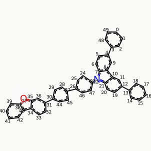 c1ccc(-c2ccc3c(c2)c2cc(-c4ccccc4)ccc2n3-c2ccc(-c3ccc(-c4ccc5c(c4)oc4ccccc45)cc3)cc2)cc1